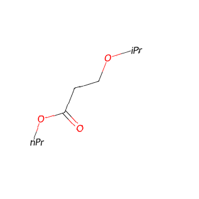 [CH2]CCOC(=O)CCOC(C)C